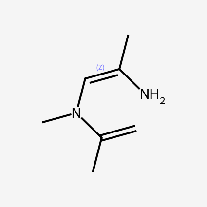 C=C(C)N(C)/C=C(/C)N